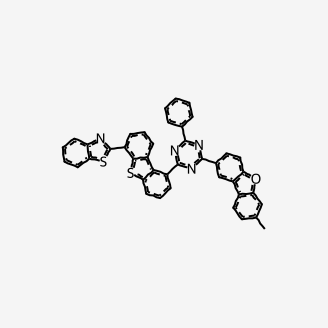 Cc1ccc2c(c1)oc1ccc(-c3nc(-c4ccccc4)nc(-c4cccc5sc6c(-c7nc8ccccc8s7)cccc6c45)n3)cc12